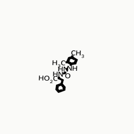 Cc1ccc(NNC(=O)NC(Cc2ccccc2)C(=O)O)c(C)c1